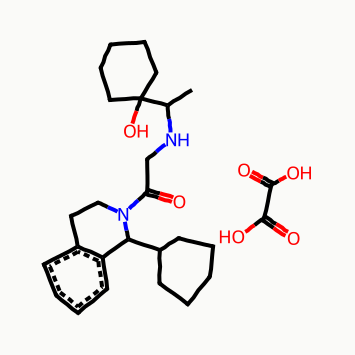 CC(NCC(=O)N1CCc2ccccc2C1C1CCCCC1)C1(O)CCCCC1.O=C(O)C(=O)O